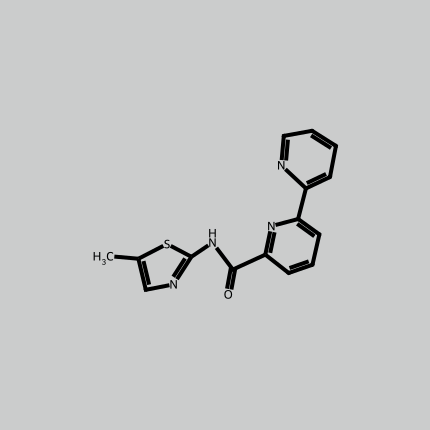 Cc1cnc(NC(=O)c2cccc(-c3ccccn3)n2)s1